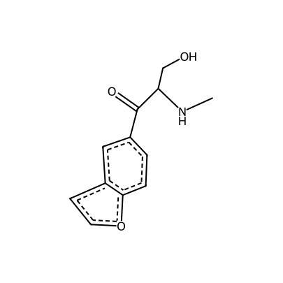 CNC(CO)C(=O)c1ccc2occc2c1